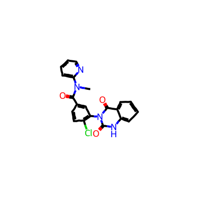 CN(C(=O)c1ccc(Cl)c(-n2c(=O)[nH]c3ccccc3c2=O)c1)c1ccccn1